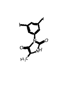 CC1NC(=O)N(c2cc(I)cc(I)c2)C1=O